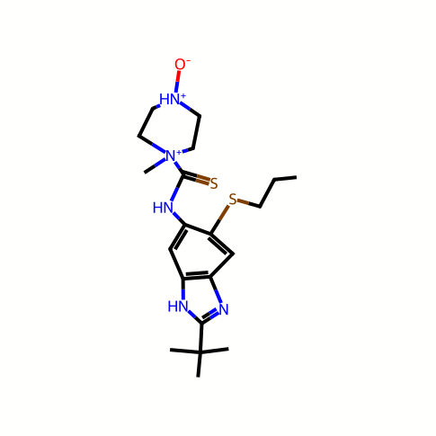 CCCSc1cc2nc(C(C)(C)C)[nH]c2cc1NC(=S)[N+]1(C)CC[NH+]([O-])CC1